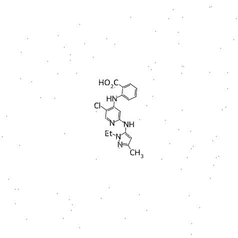 CCn1nc(C)cc1Nc1cc(Nc2ccccc2C(=O)O)c(Cl)cn1